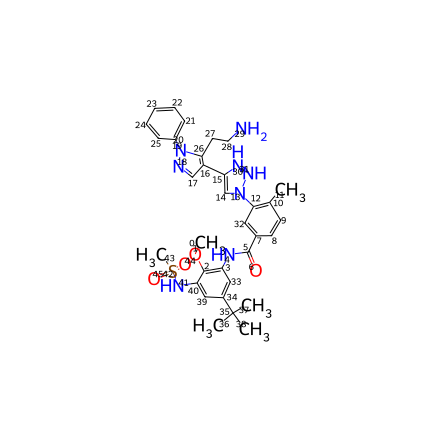 COc1c(NC(=O)c2ccc(C)c(N3C=C(c4cnn(-c5ccccc5)c4CCN)NN3)c2)cc(C(C)(C)C)cc1NS(C)(=O)=O